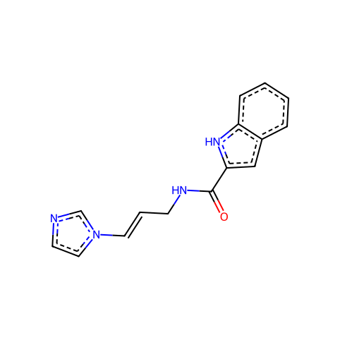 O=C(NCC=Cn1ccnc1)c1cc2ccccc2[nH]1